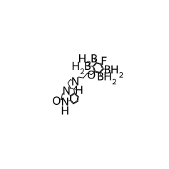 Bc1c(B)c(OCCCN2CCC3[C@@H](C2)c2cccc4c2N3CC(=O)N4)c(B)c(B)c1F